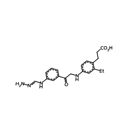 CCc1cc(NCC(=O)c2cccc(NC=NN)c2)ccc1CCC(=O)O